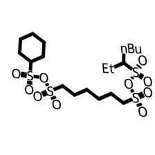 CCCCC(CC)S(=O)(=O)OS(=O)(=O)CCCCCCS(=O)(=O)OS(=O)(=O)C1CCCCC1